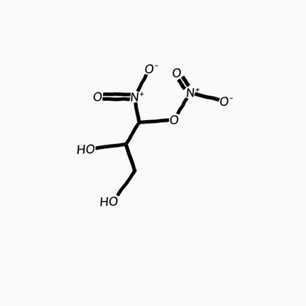 O=[N+]([O-])OC(C(O)CO)[N+](=O)[O-]